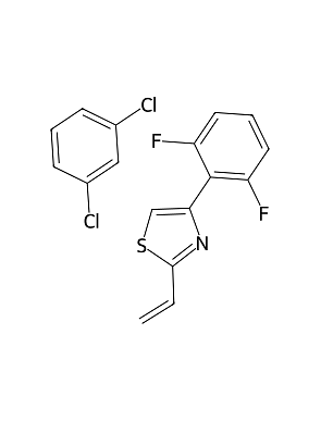 C=Cc1nc(-c2c(F)cccc2F)cs1.Clc1cccc(Cl)c1